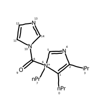 CCCC1=C(C(C)C)N=C[N+]1(CCC)C(=O)n1ccnc1